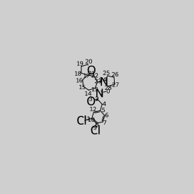 CN(C(=O)Cc1ccc(Cl)c(Cl)c1)C1CCCC2(CCCO2)CC1N1CCCC1